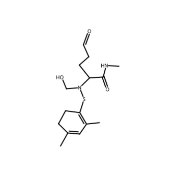 CNC(=O)C(CCC=O)N(CO)SC1=C(C)C=C(C)CC1